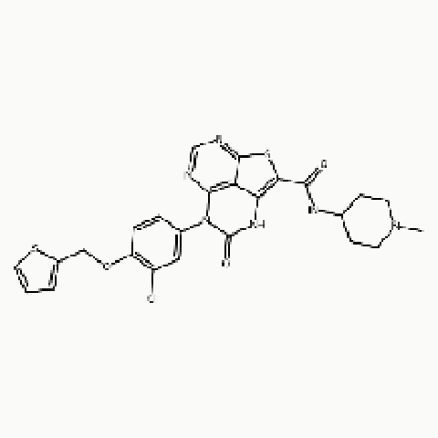 CN1CCC(NC(=O)c2sc3ncnc4c3c2NC(=O)N4c2ccc(OCc3cccs3)c(Cl)c2)CC1